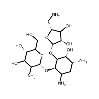 NC[C@H]1O[C@@H](OC2[C@H](O[C@H]3OC(CO)[C@@H](O)C(O)C3N)C(N)C[C@@H](N)[C@H]2O)[C@@H](O)C1O